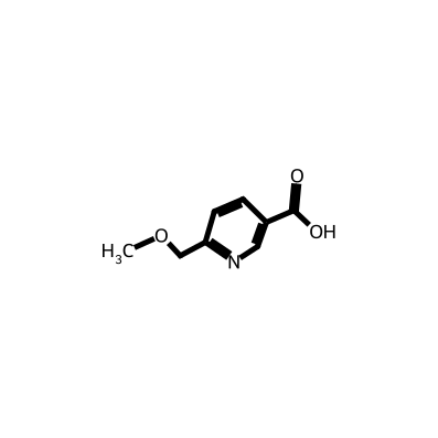 COCc1ccc(C(=O)O)cn1